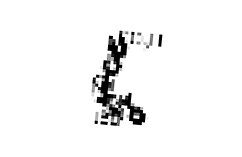 CC(C)(C)OC(=O)N(CC1(c2noc(C3CCN(c4ccc(C(=O)O)nc4)CC3)n2)CC1)[C@H]1CC1c1ccccc1